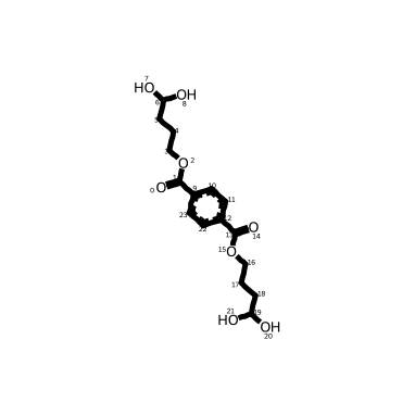 O=C(OCCCC(O)O)c1ccc(C(=O)OCCCC(O)O)cc1